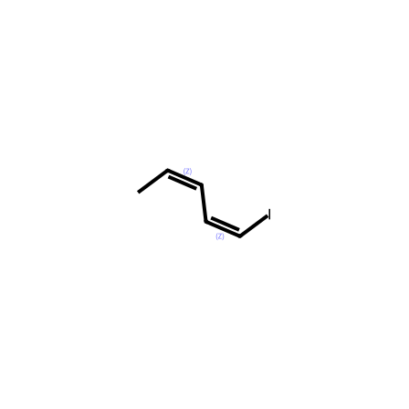 C/C=C\C=C/I